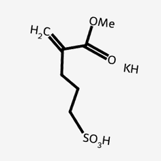 C=C(CCCS(=O)(=O)O)C(=O)OC.[KH]